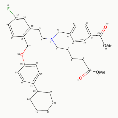 COC(=O)CCCCN(CCc1cc(F)ccc1COc1ccc(C2CCCCC2)cc1)Cc1ccc(C(=O)OC)cc1